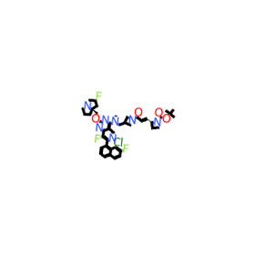 CN(CC1CN(C(=O)/C=C/[C@H]2CCN2C(=O)OC(C)(C)C)C1)c1nc(OC[C@@]23CCCN2C[C@H](F)C3)nc2c(F)c(-c3cccc4ccc(F)c(Cl)c34)ncc12